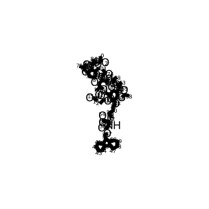 CC(=O)OCC1OC(OC2C(COC(C)=O)OC(OC3C(COC(C)=O)OC(OCCCC[C@H](NC(=O)OCC4c5ccccc5-c5ccccc54)C(=O)O)C(OC(C)=O)C3OC(C)=O)C(OC(C)=O)C2OC(C)=O)CC(OC(C)=O)C1OC(C)=O